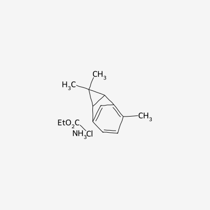 CCOC(=O)Cl.Cc1ccc2cc1C1C2C1(C)C.N